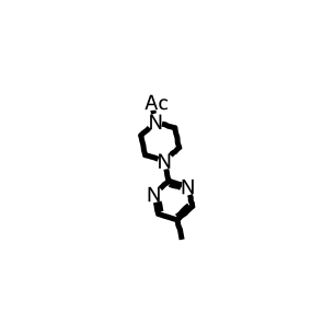 CC(=O)N1CCN(c2ncc(C)cn2)CC1